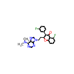 CN(C)c1ncnc2c1ncn2CCc1oc2cccc(F)c2c(=O)c1-c1cccc(F)c1